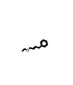 [CH2]COC/C=C/Cc1ccccc1